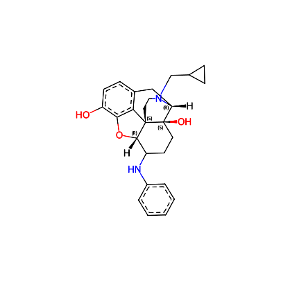 Oc1ccc2c3c1O[C@H]1C(Nc4ccccc4)CC[C@@]4(O)[C@@H](C2)N(CC2CC2)CC[C@]314